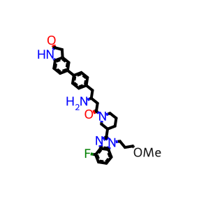 COCCCn1c(C2CCCN(C(=O)CC(N)Cc3ccc(-c4ccc5c(c4)CC(=O)N5)cc3)C2)nc2c(F)cccc21